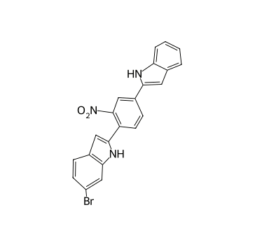 O=[N+]([O-])c1cc(-c2cc3ccccc3[nH]2)ccc1-c1cc2ccc(Br)cc2[nH]1